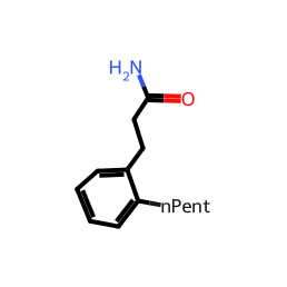 CCCCCc1ccccc1CCC(N)=O